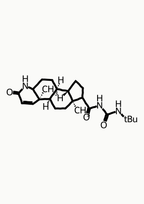 CC(C)(C)NC(=O)NC(=O)C1CC[C@H]2[C@@H]3CCC4NC(=O)C=C[C@]4(C)[C@@H]3CC[C@]12C